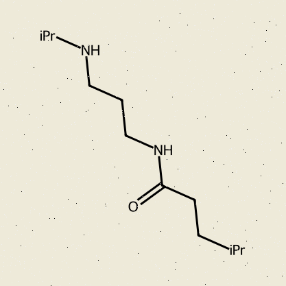 CC(C)CCC(=O)NCCCNC(C)C